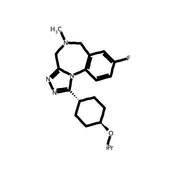 CC(C)O[C@H]1CC[C@H](c2nnc3n2-c2ccc(F)cc2CN(C)C3)CC1